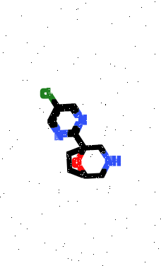 Clc1cnc(C23CCC(CNC2)O3)nc1